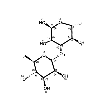 C[C@H]1O[C@H](O[C@H]2[C@H](O)[C@@H](C)O[C@H](O)[C@H]2O)[C@@H](O)[C@@H](O)[C@@H]1O